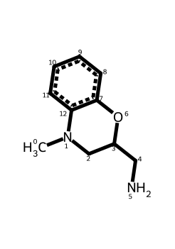 CN1CC(CN)Oc2ccccc21